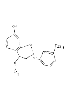 COC1C[C@@H](c2cccc(O)c2)Oc2cc(O)ccc21